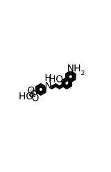 Nc1ccc2ccc(CCCNc3ccc(S(=O)(=O)O)cc3)c(O)c2c1